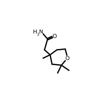 CC1(CC(N)=O)CCOC(C)(C)C1